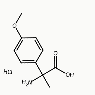 COc1ccc(C(C)(N)C(=O)O)cc1.Cl